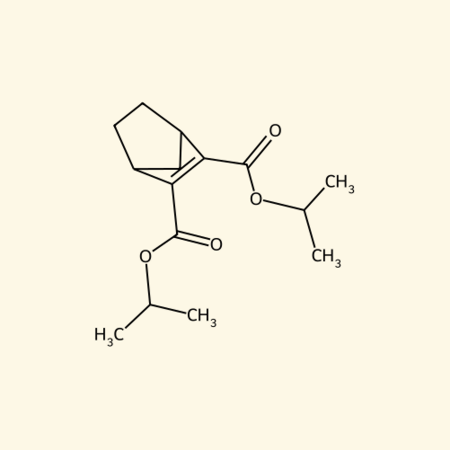 CC(C)OC(=O)C1=C(C(=O)OC(C)C)C2CCC1C2